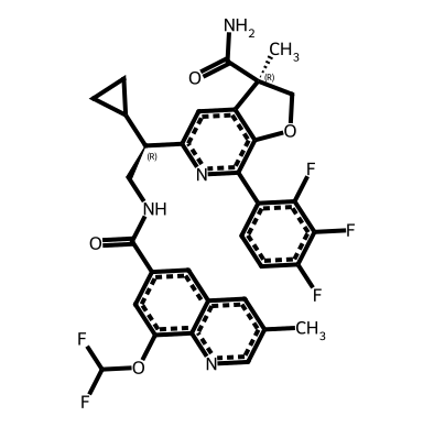 Cc1cnc2c(OC(F)F)cc(C(=O)NC[C@H](c3cc4c(c(-c5ccc(F)c(F)c5F)n3)OC[C@]4(C)C(N)=O)C3CC3)cc2c1